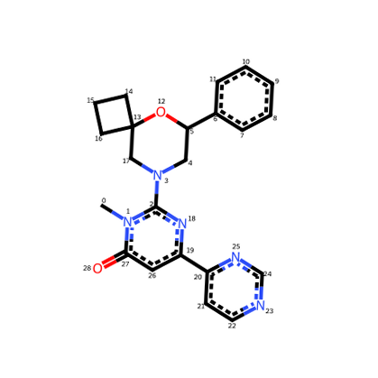 Cn1c(N2CC(c3ccccc3)OC3(CCC3)C2)nc(-c2ccncn2)cc1=O